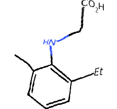 CCc1cccc(C)c1NCC(=O)O